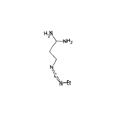 CCN=C=NCCC(N)N